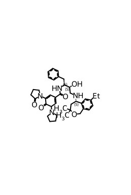 CCc1ccc2c(c1)[C@@H](NC[C@H](O)[C@H](Cc1ccccc1)NC(=O)C1=CC(N3CCCC3)C(=O)C(N3CCCC3=O)=C1)CC(C)(C)OC2